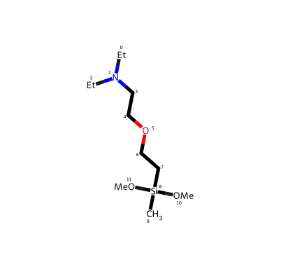 CCN(CC)CCOCC[Si](C)(OC)OC